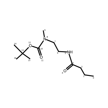 CCCC(=O)NCCN(C)C(=O)OC(C)(C)C